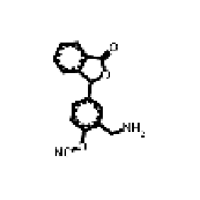 N#COc1ccc(C2OC(=O)c3ccccc32)cc1CN